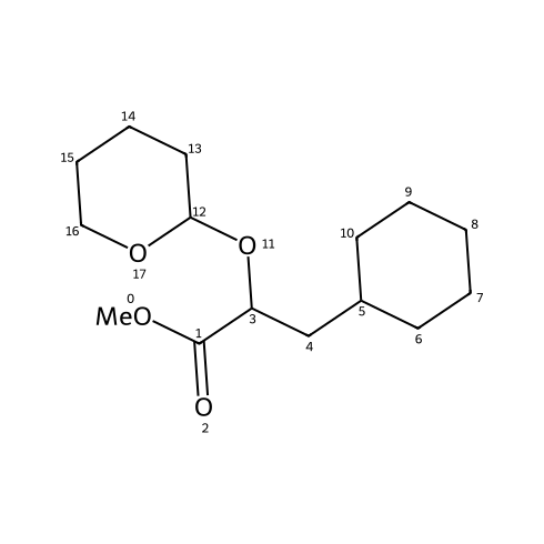 COC(=O)C(CC1CCCCC1)OC1CCCCO1